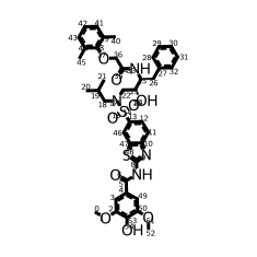 COc1cc(C(=O)Nc2nc3ccc(S(=O)(=O)N(CC(C)C)C[C@@H](O)[C@H](Cc4ccccc4)NC(=O)COc4c(C)cccc4C)cc3s2)cc(OC)c1O